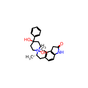 Cc1c(C[C@H](C)[N+]2(O)CCC(O)(c3ccccc3)CC2)ccc2c1CC(=O)N2